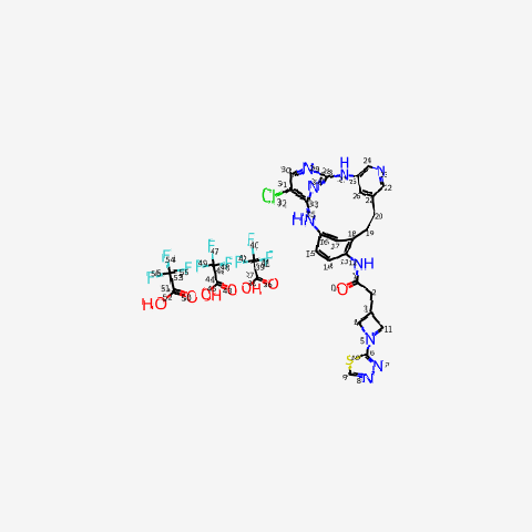 O=C(CC1CN(c2nncs2)C1)Nc1ccc2cc1CCc1cncc(c1)Nc1ncc(Cl)c(n1)N2.O=C(O)C(F)(F)F.O=C(O)C(F)(F)F.O=C(O)C(F)(F)F